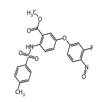 COC(=O)c1cc(Oc2ccc(N=O)c(F)c2)ccc1NS(=O)(=O)c1ccc(C)cc1